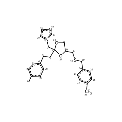 Cc1ccc(CCC2(Cn3ccnc3)OCC(CSCc3ccc(C(F)(F)F)cc3)O2)cc1